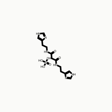 O=C(CC(=O)NCCc1c[nH]cn1)NCCc1c[nH]cn1.O=P(O)(O)O